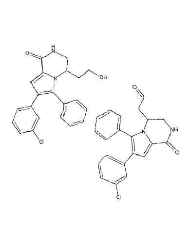 O=C1NCC(CCO)n2c1cc(-c1cccc(Cl)c1)c2-c1ccccc1.O=CCC1CNC(=O)c2cc(-c3cccc(Cl)c3)c(-c3ccccc3)n21